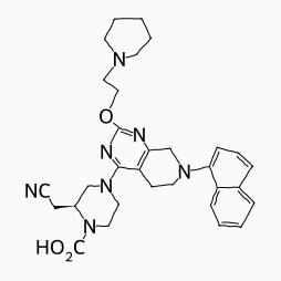 N#CC[C@H]1CN(c2nc(OCCN3CCCCC3)nc3c2CCN(c2cccc4ccccc24)C3)CCN1C(=O)O